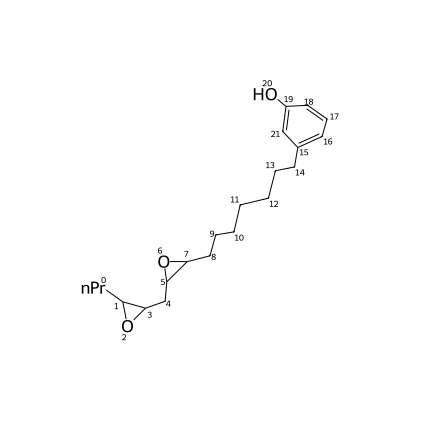 CCCC1OC1CC1OC1CCCCCCCc1cccc(O)c1